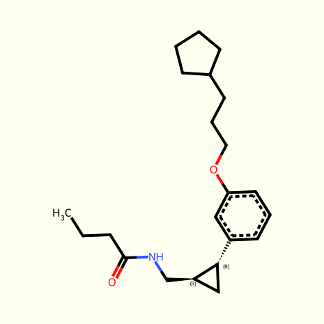 CCCC(=O)NC[C@@H]1C[C@H]1c1cccc(OCCCC2CCCC2)c1